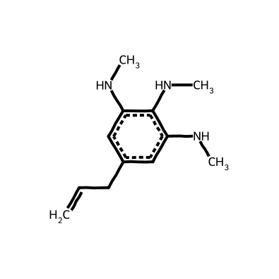 C=CCc1cc(NC)c(NC)c(NC)c1